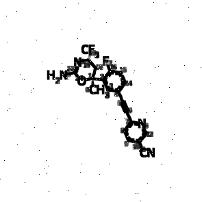 C[C@@]1(c2cc(C#Cc3ccc(C#N)cn3)ccc2F)C[C@@H](C(F)(F)F)N=C(N)O1